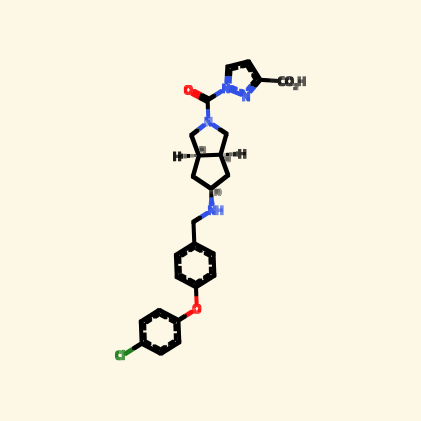 O=C(O)c1ccn(C(=O)N2C[C@H]3C[C@@H](NCc4ccc(Oc5ccc(Cl)cc5)cc4)C[C@H]3C2)n1